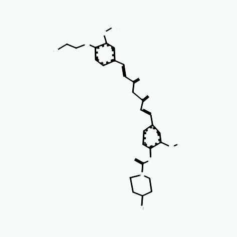 COc1cc(/C=C/C(=O)CC(=O)/C=C/c2ccc(OC(=O)N3CCC(N)CC3)c(OC)c2)ccc1OCCO